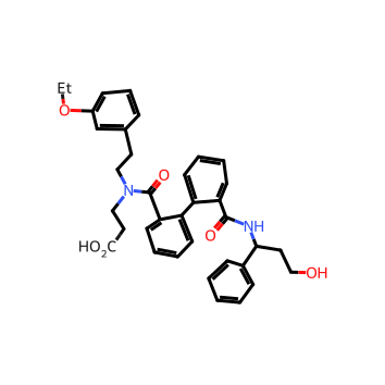 CCOc1cccc(CCN(CCC(=O)O)C(=O)c2ccccc2-c2ccccc2C(=O)NC(CCO)c2ccccc2)c1